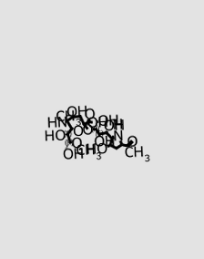 CNC1C(O)CC(O[C@H](CO)[C@@H](O)C(O)C2NC(C(C)=O)CC2O)(C(=O)O)OC1[C@H](O)[C@@H](CO)OC